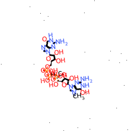 CO[C@H]1C(O)[C@@H](N2CN(C)C3=C2N=C(N)NC3O)O[C@H]1C(O)P(=O)(O)OP(=O)(O)OP(=O)(O)OC[C@H]1O[C@@H](n2cnc3c(=O)[nH]c(N)nc32)[C@@H](O)C1O